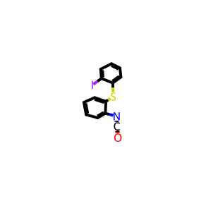 O=C=Nc1ccccc1Sc1ccccc1I